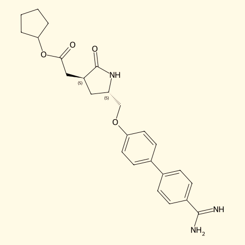 N=C(N)c1ccc(-c2ccc(OC[C@@H]3C[C@@H](CC(=O)OC4CCCC4)C(=O)N3)cc2)cc1